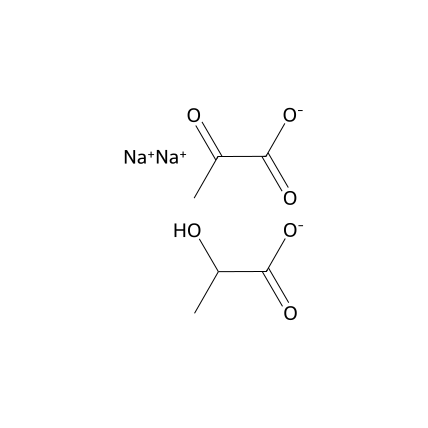 CC(=O)C(=O)[O-].CC(O)C(=O)[O-].[Na+].[Na+]